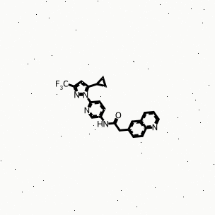 O=C(Cc1ccc2ncccc2c1)Nc1ccc(-n2nc(C(F)(F)F)cc2C2CC2)nc1